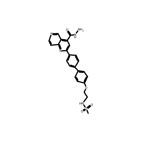 CS(=O)(=O)NCCOc1ccc(-c2ccc(-c3cc(C(=O)NN)c4cnccc4n3)cc2)cc1